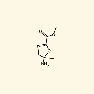 COC(=O)C1=CCC(C)(N)O1